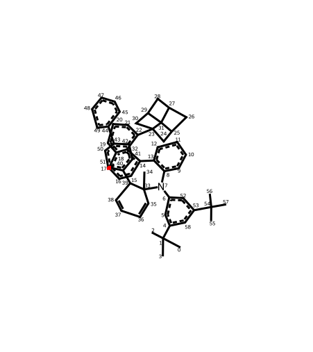 CC(C)(C)c1cc(N(c2ccccc2-c2cccc3cccc(C45CC6CC7CC(C4)C765)c23)C2(C)C=CC=CC2c2ccc(-c3ccccc3)cc2)cc(C(C)(C)C)c1